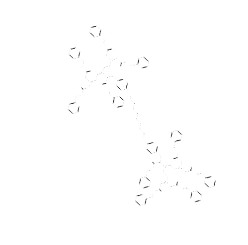 O=C(CN(CCN(CCN(CC(=O)OCc1ccccc1)CC(=O)OCc1ccccc1)C(Cc1ccc(OCCCCCCCCOc2ccc(CC(C(=O)OCc3ccccc3)N(CCN(CC(=O)OCc3ccccc3)CC(=O)OCc3ccccc3)CCN(CC(=O)OCc3ccccc3)CC(=O)OCc3ccccc3)cc2)cc1)C(=O)OCc1ccccc1)CC(=O)OCc1ccccc1)OCc1ccccc1